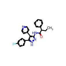 CCC(C(=O)Nc1n[nH]c(-c2ccc(F)cc2)c1-c1ccncc1)c1ccccc1